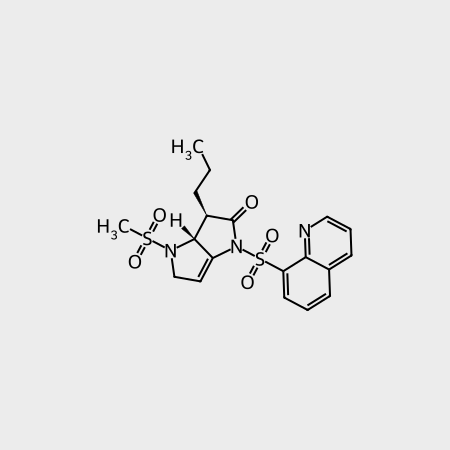 CCC[C@H]1C(=O)N(S(=O)(=O)c2cccc3cccnc23)C2=CCN(S(C)(=O)=O)[C@@H]21